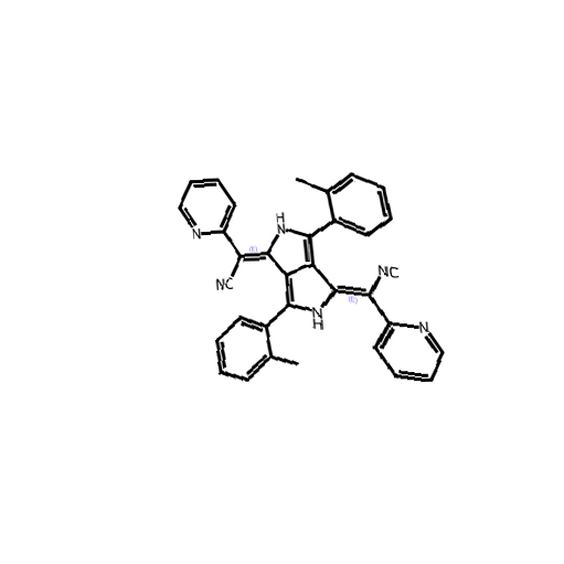 [C-]#[N+]/C(c1ccccn1)=c1/[nH]c(-c2ccccc2C)c2/c(=C(\C#N)c3ccccn3)[nH]c(-c3ccccc3C)c12